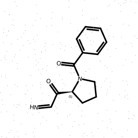 N=CC(=O)[C@@H]1CCCN1C(=O)c1ccccc1